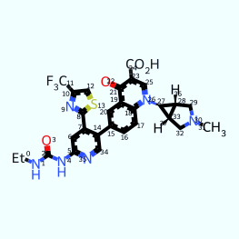 CCNC(=O)Nc1cc(-c2nc(C(F)(F)F)cs2)c(-c2ccc3c(c2)c(=O)c(C(=O)O)cn3[C@H]2[C@@H]3CN(C)C[C@@H]32)cn1